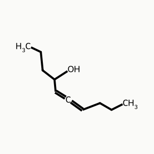 CCCC=C=CC(O)CCC